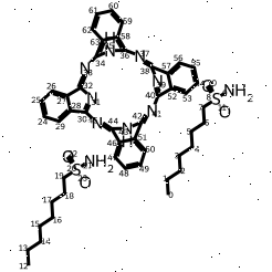 CCCCCCCCS(N)(=O)=O.CCCCCCCCS(N)(=O)=O.c1ccc2c(c1)-c1nc-2nc2[nH]c(nc3nc(nc4[nH]c(n1)c1ccccc41)-c1ccccc1-3)c1ccccc21